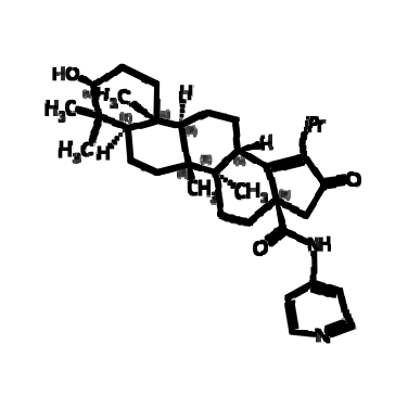 CC(C)C1=C2[C@H]3CC[C@@H]4[C@@]5(C)CC[C@H](O)C(C)(C)[C@@H]5CC[C@@]4(C)[C@]3(C)CC[C@@]2(C(=O)Nc2ccncc2)CC1=O